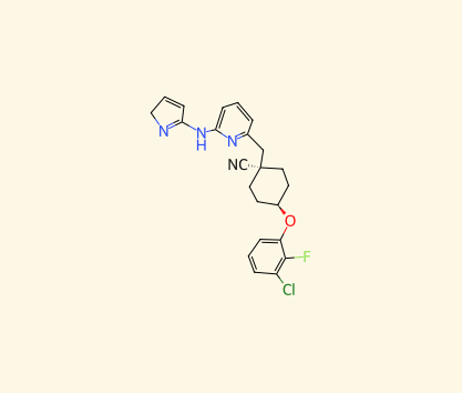 N#C[C@]1(Cc2cccc(NC3=NCC=C3)n2)CC[C@@H](Oc2cccc(Cl)c2F)CC1